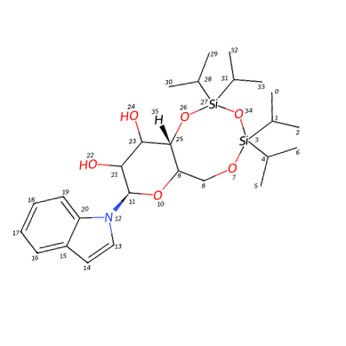 CC(C)[Si]1(C(C)C)OCC2O[C@@H](n3ccc4ccccc43)C(O)C(O)[C@@H]2O[Si](C(C)C)(C(C)C)O1